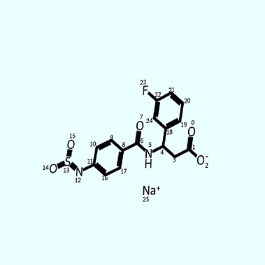 O=C([O-])CC(NC(=O)c1ccc(N=S(=O)=O)cc1)c1cccc(F)c1.[Na+]